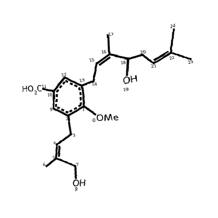 COc1c(CC=C(C)CO)cc(C(=O)O)cc1CC=C(C)C(O)CC=C(C)C